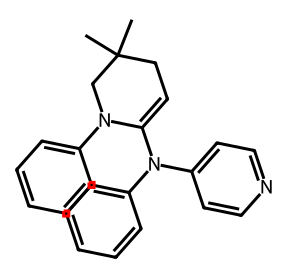 CC1(C)CC=C(N(c2ccccc2)c2ccncc2)N(c2ccccc2)C1